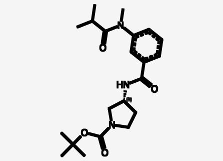 CC(C)C(=O)N(C)c1cccc(C(=O)N[C@@H]2CCN(C(=O)OC(C)(C)C)C2)c1